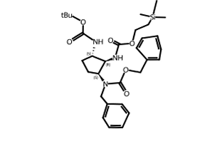 CC(C)(C)OC(=O)N[C@H]1CC[C@H](N(Cc2ccccc2)C(=O)OCc2ccccc2)[C@@H]1NC(=O)OCC[Si](C)(C)C